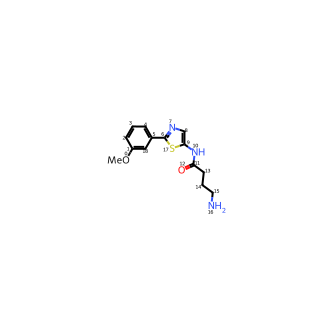 COc1cccc(-c2ncc(NC(=O)CCCN)s2)c1